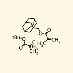 C=C(C)C(=O)OC(C)(C)C.C=C(C)C(=O)OCC12CC3CC(CC(C3)C1)C2